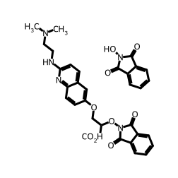 CN(C)CCNc1ccc2cc(OCC(ON3C(=O)c4ccccc4C3=O)C(=O)O)ccc2n1.O=C1c2ccccc2C(=O)N1O